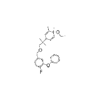 CCOC1(C)C=CC(C(C)(C)COCc2ccc(F)c(Oc3ccccc3)c2)C=C1C